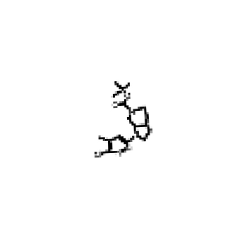 Cc1cc(N2CCC3CCN(C(=O)OC(C)(C)C)CC32)nnc1Cl